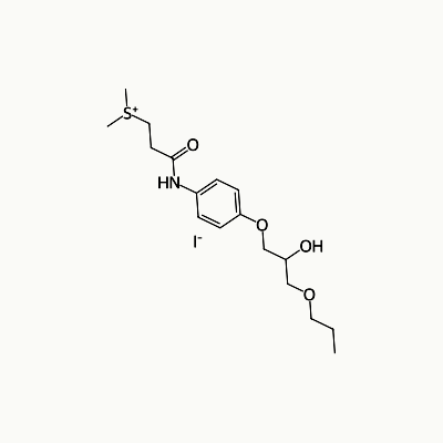 CCCOCC(O)COc1ccc(NC(=O)CC[S+](C)C)cc1.[I-]